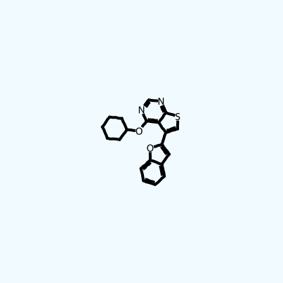 c1ccc2oc(-c3csc4ncnc(OC5CCCCC5)c34)cc2c1